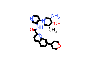 C[C@H]1CN(c2ccncc2NC(=O)c2ccc3ccc(C4CCOCC4)cc3n2)C[C@@H](N)[C@@H]1O